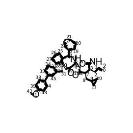 C=CC[C@H](C(N)=O)[C@@H](CC1CC1)C(=O)NC1N=C(c2ccccc2)c2ccccc2N(Cc2cccc(-c3ccc(OC)cc3)c2)C1=O